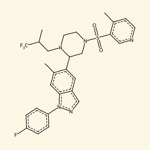 Cc1cc2c(cnn2-c2ccc(F)cc2)cc1C1CN(S(=O)(=O)c2cnccc2C)CCN1CC(C)C(F)(F)F